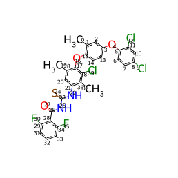 Cc1cc(Oc2ccc(Cl)cc2Cl)ccc1Oc1c(C)cc(NC(=S)NC(=O)c2c(F)cccc2F)c(C)c1Cl